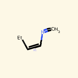 C=N/C=C\CC